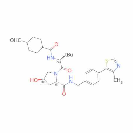 Cc1ncsc1-c1ccc(CNC(=O)[C@@H]2C[C@@H](O)CN2C(=O)[C@@H](NC(=O)C2CCC(C=O)CC2)C(C)(C)C)cc1